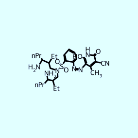 CCCC(N)C(CC)CN(CC(CC)C(N)CCC)S(=O)(=O)c1ccccc1/N=N\c1c(O)[nH]c(=O)c(C#N)c1C